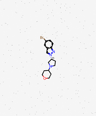 Brc1ccc2nn([C@@H]3CCN(C4CCOCC4)C3)cc2c1